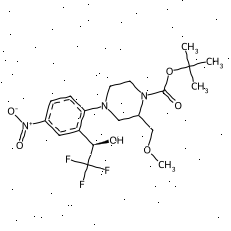 COCC1CN(c2ccc([N+](=O)[O-])cc2[C@@H](O)C(F)(F)F)CCN1C(=O)OC(C)(C)C